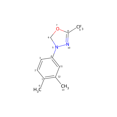 Cc1ccc(N2COC(C(F)(F)F)=N2)cc1C